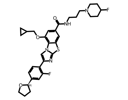 O=C(NCCCN1CCC(F)CC1)c1cc(OCC2CC2)c2c(c1)sc1nc(-c3ccc([C@H]4CCCO4)cc3F)cn12